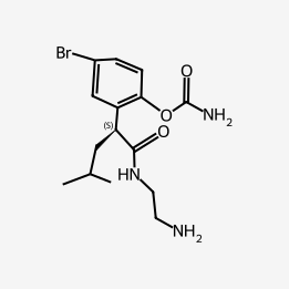 CC(C)C[C@H](C(=O)NCCN)c1cc(Br)ccc1OC(N)=O